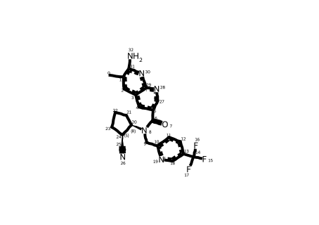 Cc1cc2cc(C(=O)N(Cc3ccc(C(F)(F)F)cn3)[C@@H]3CCC[C@@H]3C#N)cnc2nc1N